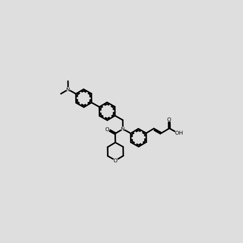 CN(C)c1ccc(-c2ccc(CN(C(=O)C3CCOCC3)c3cccc(/C=C/C(=O)O)c3)cc2)cc1